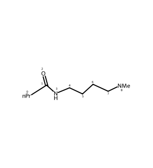 CCCC(=O)NCCCCNC